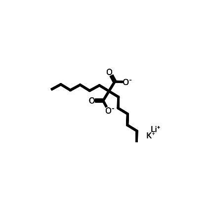 CCCCCCC(CCCCCC)(C(=O)[O-])C(=O)[O-].[K+].[Li+]